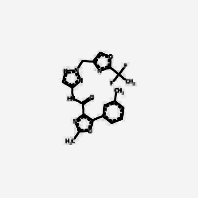 Cc1cccc(-c2oc(C)nc2C(=O)Nc2cnn(Cc3coc(C(C)(F)F)n3)n2)c1